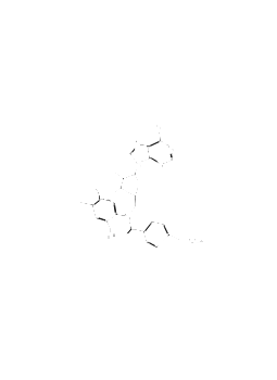 C=C(c1ccc(OC)cc1)N(CC1OC(n2cnc3c(N)ncnc32)C(O)C1O)c1cc(Cl)c(Cl)cc1N